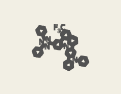 FC(F)(F)c1cccc(-c2cc(-c3nc(-c4ccccc4)nc(-c4ccccc4)n3)ccc2-n2c3ccccc3c3cc4c(cc32)c2ccccc2n4-c2ccccc2)c1